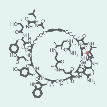 CC(=O)N[C@@H](CC(C)C)C(=O)N[C@H](C(=O)N[C@@H](Cc1ccccc1)C(=O)N[C@]1(C)CCCCC#CC#CCCC[C@@](C)(C(=O)CN[C@@H](C)C(=O)CCN[C@@H](C)C(=O)CCN[C@@H](C)C(=O)CCN[C@@H](C)C(=O)CCN[C@@H](C)C(=O)CN[C@H](C)C(N)=O)NC(=O)[C@H](CC(C)C)NN[C@@H](CCC(N)=O)C(=O)CC(=O)[C@H](C)NCC(=O)[C@H](Cc2c[nH]c3ccccc23)NC(=O)[C@H](Cc2ccc(O)cc2)NC(=O)[C@H](CCC(=O)O)NC1=O)[C@@H](C)O